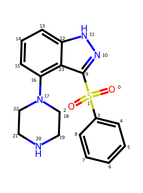 O=S(=O)(c1ccccc1)c1n[nH]c2cccc(N3CCNCC3)c12